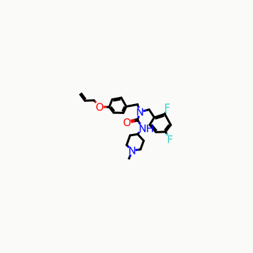 C=CCOc1ccc(CN(Cc2ccc(F)cc2F)C(=O)NC2CCN(C)CC2)cc1